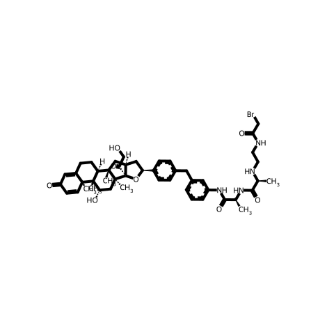 C[C@H](NCCNC(=O)CBr)C(=O)N[C@@H](C)C(=O)Nc1cccc(Cc2ccc([C@@H]3C[C@@H]4C[C@@]5(C)[C@@H]6CCC7=CC(=O)C=C[C@]7(C)[C@@]6(C)[C@@H](O)C[C@]5(C)[C@]4(C(=O)CO)O3)cc2)c1